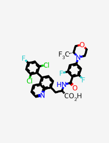 O=C(NC(Cc1ccc(-c2c(Cl)cc(F)cc2Cl)c2cccnc12)C(=O)O)c1c(F)cc(N2CCOC[C@H]2C(F)(F)F)cc1F